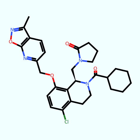 Cc1noc2nc(COc3ccc(Cl)c4c3[C@@H](CN3CCCC3=O)N(C(=O)C3CCCCC3)CC4)ccc12